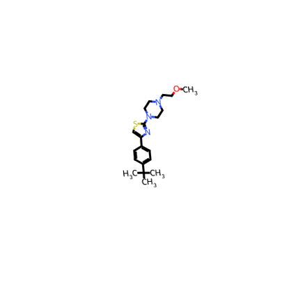 COCCN1CCN(c2nc(-c3ccc(C(C)(C)C)cc3)cs2)CC1